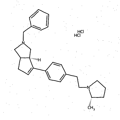 C[C@H]1CCCN1CCc1ccc(C2=CCC3CN(Cc4ccccc4)C[C@@H]23)cc1.Cl.Cl